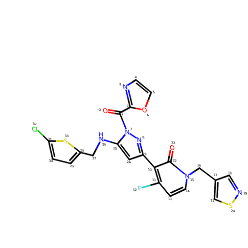 O=C(c1ncco1)n1nc(-c2c(F)ccn(Cc3cnsc3)c2=O)cc1NCc1ccc(Cl)s1